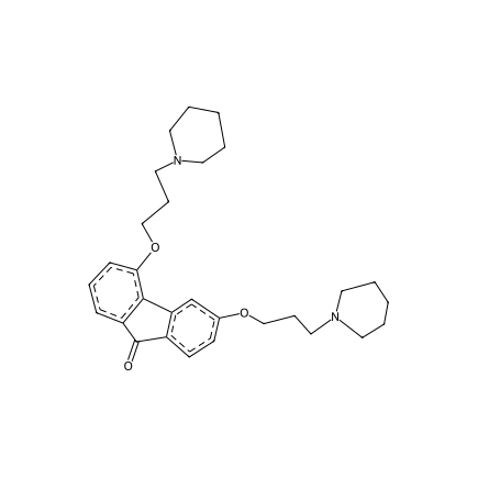 O=C1c2ccc(OCCCN3CCCCC3)cc2-c2c(OCCCN3CCCCC3)cccc21